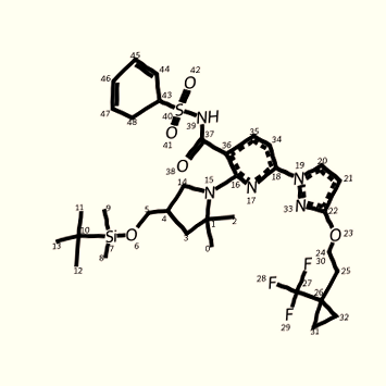 CC1(C)CC(CO[Si](C)(C)C(C)(C)C)CN1c1nc(-n2ccc(OCCC3(C(F)(F)F)CC3)n2)ccc1C(=O)NS(=O)(=O)C1C=CC=CC1